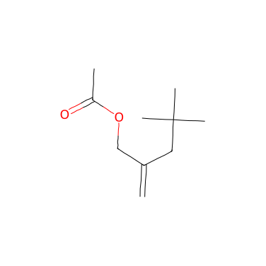 C=C(COC(C)=O)CC(C)(C)C